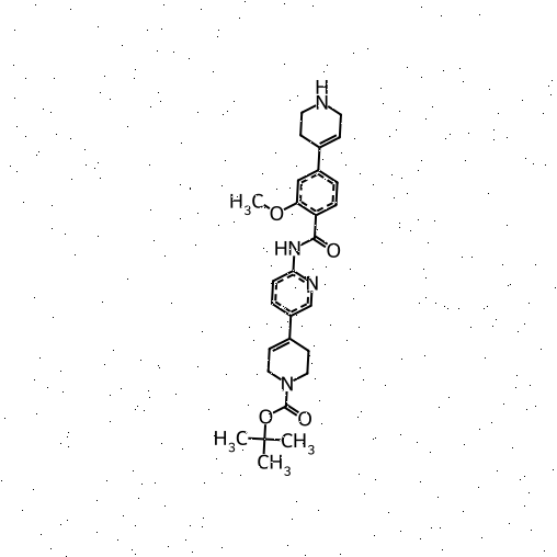 COc1cc(C2=CCNCC2)ccc1C(=O)Nc1ccc(C2=CCN(C(=O)OC(C)(C)C)CC2)cn1